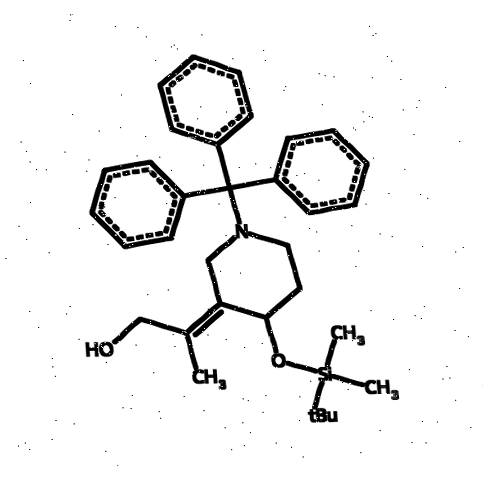 C/C(CO)=C1/CN(C(c2ccccc2)(c2ccccc2)c2ccccc2)CCC1O[Si](C)(C)C(C)(C)C